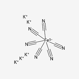 N#[C][Fe-5]([C]#N)([C]#N)([C]#N)([C]#N)[C]#N.[K+].[K+].[K+].[K+].[K+]